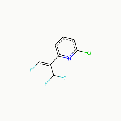 FC=C(c1cccc(Cl)n1)C(F)F